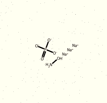 NO.O=P([O-])([O-])[O-].[Na+].[Na+].[Na+]